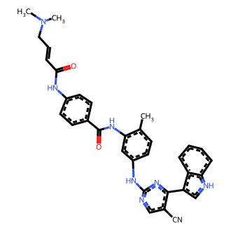 Cc1ccc(Nc2ncc(C#N)c(-c3c[nH]c4ccccc34)n2)cc1NC(=O)c1ccc(NC(=O)C=CCN(C)C)cc1